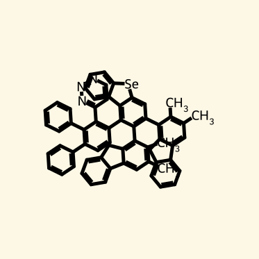 Cc1cc2c(c(-c3cc4[se]c5ccccc5c4c(-c4ccc(-c5ccccc5)c(-c5ccccc5)c4-c4ccnnn4)c3-c3c(C)c(C)cc4c3Cc3ccccc3-4)c1C)Cc1ccccc1-2